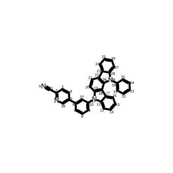 N#Cc1ccc(-c2cccc(-n3c4ccccc4c4c3ccc3c5ccccc5n(-c5ccccc5)c34)c2)cn1